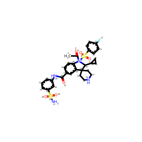 CC(=O)[N+]1(S(=O)(=O)c2ccc(F)cc2)c2ccc(C(=O)Nc3cccc(S(N)(=O)=O)c3)cc2C2(CCNCC2)C1C1CC1